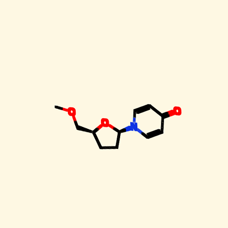 COC[C@@H]1CC[C@H](n2ccc(=O)cc2)O1